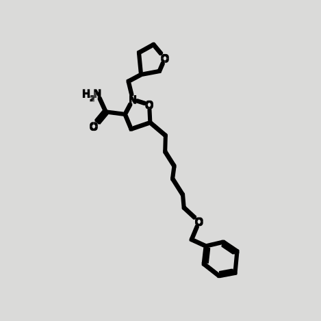 NC(=O)C1CC(CCCCCCOCc2ccccc2)ON1CC1CCOC1